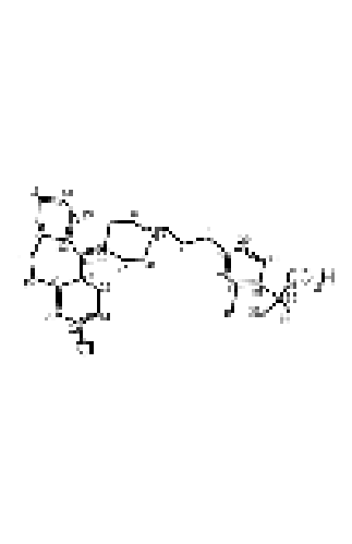 Cc1cc(CCCN2CCC(=C3c4ncccc4CCC4=CC(Cl)=CCC43)CC2)ccc1C(C)(C)C(=O)O